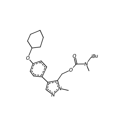 CCC(C)N(C)C(=O)OCc1c(-c2ccc(OC3CCCCC3)cc2)cnn1C